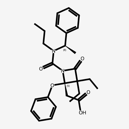 CCCN(C(=O)N1C(=O)C(CC)(CC)[C@]1(CC(=O)O)Oc1ccccc1)[C@H](C)c1ccccc1